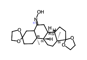 C[C@]12CCC3(CC1/C(=N/O)C[C@@H]1[C@@H]2CC[C@@]2(C)[C@H]1CCC21OCCO1)OCCO3